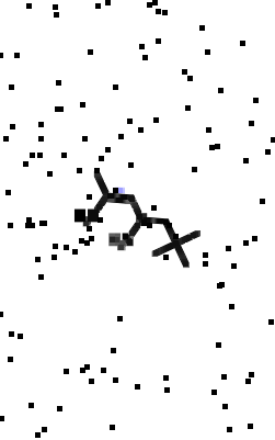 C/C(N)=C/N(N)CC(C)(C)C